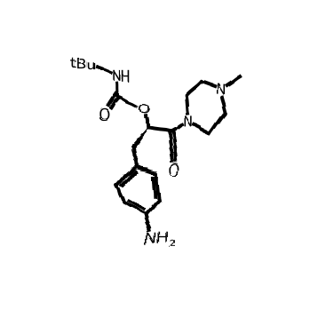 CN1CCN(C(=O)[C@@H](Cc2ccc(N)cc2)OC(=O)NC(C)(C)C)CC1